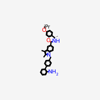 Cc1c(C)n(Cc2ccc(-c3ccccc3N)cc2)c2ccc(C(=O)N[C@@H](C)c3ccc(OC(C)C)cc3)cc12